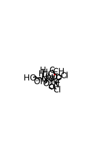 CC(C)(C)C[C@@H]1N[C@@H](C(=O)NCC[C@H](O)CO)[C@H](c2cccc(Cl)c2)[C@@]1(C#N)c1c(F)cc(Cl)cc1F